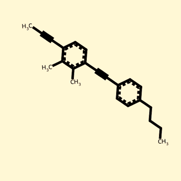 CC#Cc1ccc(C#Cc2ccc(CCCC)cc2)c(C)c1C